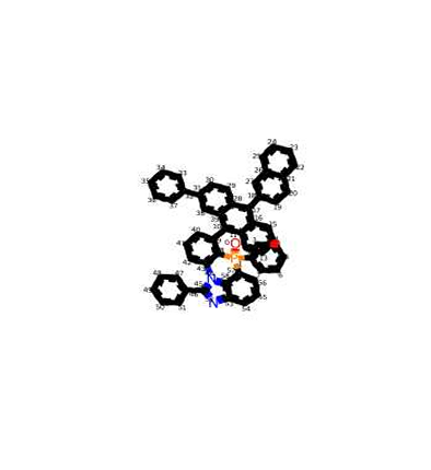 O=P1(c2ccccc2)c2c(-c3c4ccccc4c(-c4ccc5ccccc5c4)c4ccc(-c5ccccc5)cc34)cccc2-n2c(-c3ccccc3)nc3cccc1c32